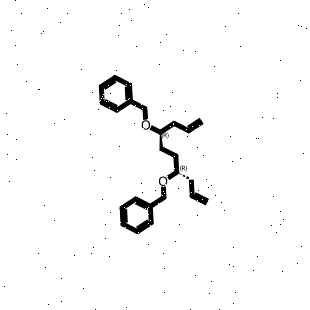 C=CC[C@@H](CC[C@H](CC=C)OCc1ccccc1)OCc1ccccc1